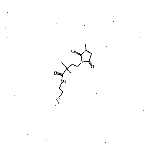 COCCNC(=O)C(C)(C)CCN1C(=O)CC(C)C1=O